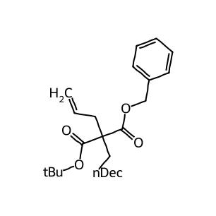 C=CCC(CCCCCCCCCCC)(C(=O)OCc1ccccc1)C(=O)OC(C)(C)C